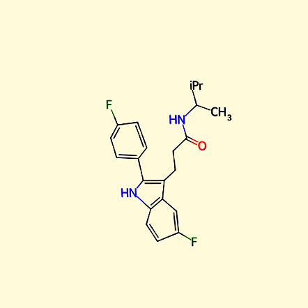 CC(C)C(C)NC(=O)CCc1c(-c2ccc(F)cc2)[nH]c2ccc(F)cc12